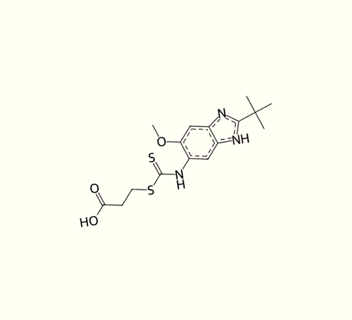 COc1cc2nc(C(C)(C)C)[nH]c2cc1NC(=S)SCCC(=O)O